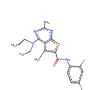 CCN(CC)c1nc(C)nc2sc(C(=O)Nc3ccc(F)cc3F)c(C)c12